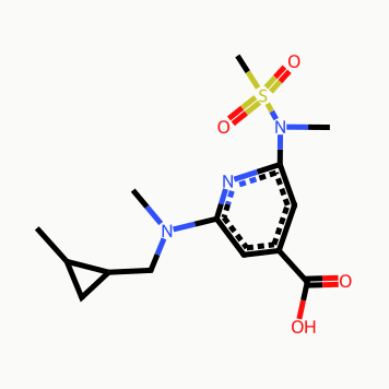 CC1CC1CN(C)c1cc(C(=O)O)cc(N(C)S(C)(=O)=O)n1